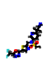 CCS(=O)(=O)N(Cc1ncc(-c2nnc(C(F)F)o2)s1)c1ccc(C(C)(C)C#N)nc1